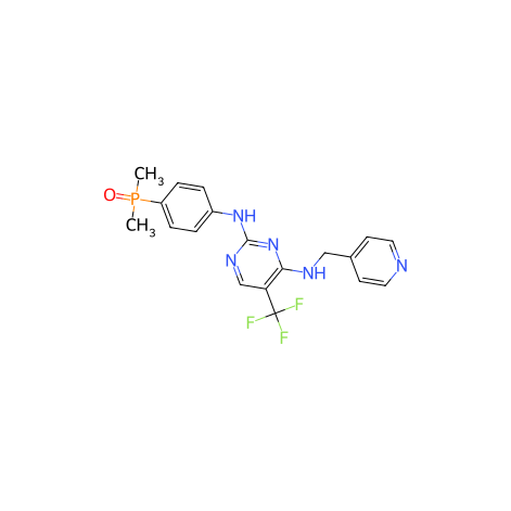 CP(C)(=O)c1ccc(Nc2ncc(C(F)(F)F)c(NCc3ccncc3)n2)cc1